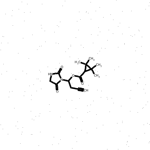 C#CCC(OC(=O)C1C(C)(C)C1(C)C)N1C(=O)CNC1=O